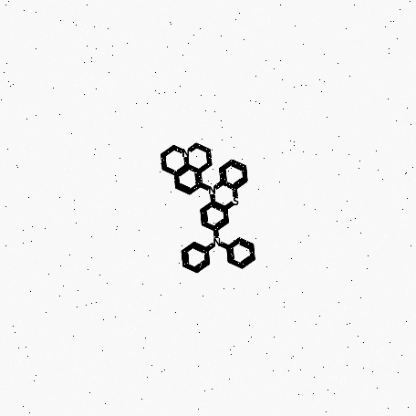 c1ccc(N(c2ccccc2)c2ccc3c(c2)Sc2ccccc2N3c2ccc3c4c2CCCN4CCC3)cc1